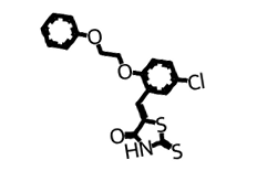 O=C1NC(=S)S/C1=C\c1cc(Cl)ccc1OCCOc1ccccc1